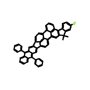 CC1(C)c2cc(F)ccc2-c2c1cc1c3ccc4c5c(ccc(c6cccc2c61)c53)-c1cc2c(-c3ccccc3)c3ccccc3c(-c3ccccc3)c2cc1-4